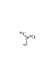 Cl[N](Cl)[Pt]